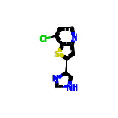 Clc1ccnc2cc(-c3c[nH]cn3)sc12